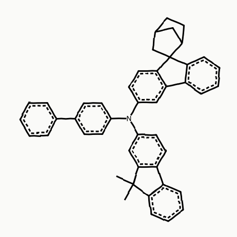 CC1(C)c2ccccc2-c2ccc(N(c3ccc(-c4ccccc4)cc3)c3ccc4c(c3)-c3ccccc3C43CC4CCC3C4)cc21